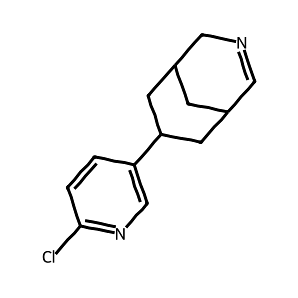 Clc1ccc(C2CC3C=NCC(C3)C2)cn1